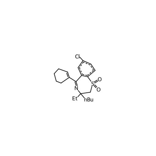 CCCCC1(CC)CS(=O)(=O)c2ccc(Cl)cc2C(C2=CCCCC2)=N1